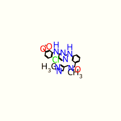 CN(Cc1cnn(C)c1)C(=O)c1cccc(Nc2nccc(Nc3c(Cl)ccc4c3OCO4)n2)c1